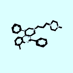 Cc1cccc([C@@H]2[C@@H](C(=O)c3ccccc3)CN(CCCN3CCN(C)CC3)C[C@@H]2c2[c]cccc2)c1C